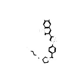 COCCOC[C@H]1CCN(C(=O)c2ccc(-n3cc(-c4cc5cc(F)c(F)cc5[nH]c4=O)nn3)cc2)C1